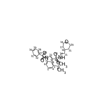 CC(C)c1cccc2c1c(S(=O)(=O)NCCC1CCOCC1)cn2S(=O)(=O)c1ccccc1